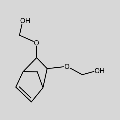 OCOC1C2C=CC(C2)C1OCO